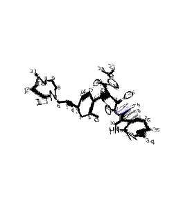 Cc1cc(C#CCN2CCN(C)CC2)ccc1C1=C(C(=O)OC(C)C)C(=O)/C(=C/c2c[nH]c3ncccc23)O1